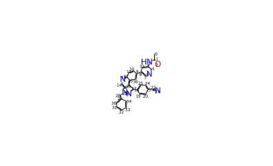 CC(=O)Nc1cncc(-c2ccc3ncc4c(c(-c5ccc(C#N)cc5)nn4Cc4ccccc4)c3c2)c1